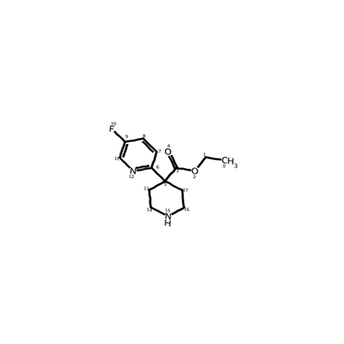 CCOC(=O)C1(c2ccc(F)cn2)CCNCC1